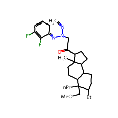 C=NN(CC(=O)C1CCC2C3CCC(CC)C(CCC)(COC)C3CCC12C)/N=C1\CC=CC(F)=C1F